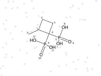 CC1CCC1(P(=O)(O)O)P(=O)(O)O